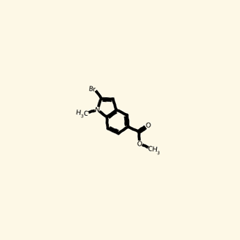 COC(=O)c1ccc2c(c1)cc(Br)n2C